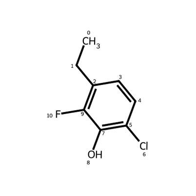 CCc1ccc(Cl)c(O)c1F